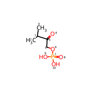 CC(C)C(=O)COP(=O)(O)O